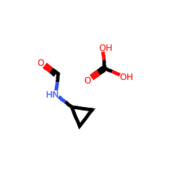 O=C(O)O.O=CNC1CC1